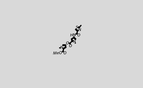 COC(=O)c1cc(OC(=O)c2cc(NC(=O)c3csc(C)n3)cn2C)cn1C